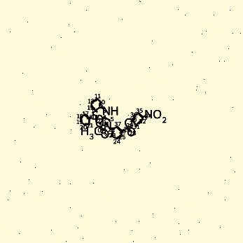 CS(=O)(=O)N(CC(=O)Nc1ccccc1Sc1ccccc1)c1cccc(C(=O)Oc2ccc([N+](=O)[O-])cc2)c1